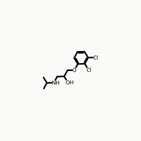 CC(C)NCC(O)COc1cccc(Cl)c1Cl